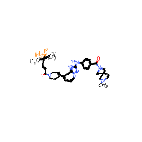 CN1CCC2(C1)CN(C(=O)c1ccc(Nc3nc4c(C5=CCN(C(=O)CCC(C)(C)P)CC5)cccn4n3)cc1)C2